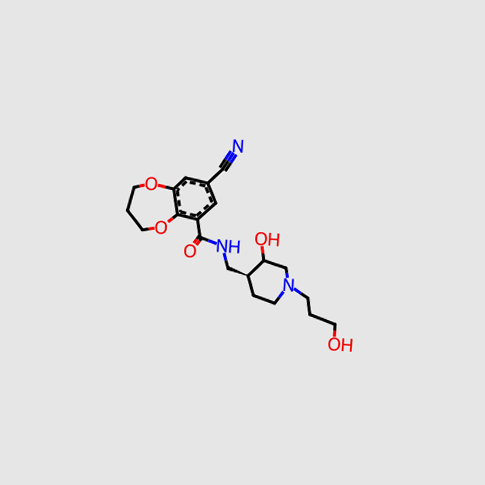 N#Cc1cc2c(c(C(=O)NC[C@@H]3CCN(CCCO)CC3O)c1)OCCCO2